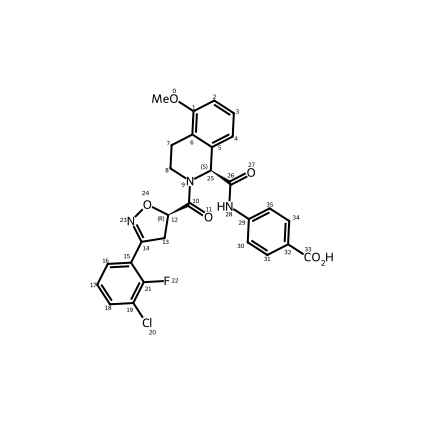 COc1cccc2c1CCN(C(=O)[C@H]1CC(c3cccc(Cl)c3F)=NO1)[C@@H]2C(=O)Nc1ccc(C(=O)O)cc1